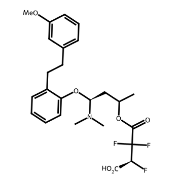 COc1cccc(CCc2ccccc2O[C@@H](CC(C)OC(=O)C(F)(F)[C@@H](F)C(=O)O)N(C)C)c1